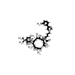 CCC1OC(=O)[C@@](C)(F)C(=O)[C@H](C)[C@@H](OC2OC(C)CC(N(C)C)C2O)[C@@](C)(OC)C[C@@H](C)C(=O)[C@H](C)[C@H]2N(CCCCn3cc(-c4cccc(N)n4)nn3)C(=O)O[C@]12C